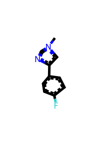 Cn1cnc(-c2ccc(F)cc2)c1